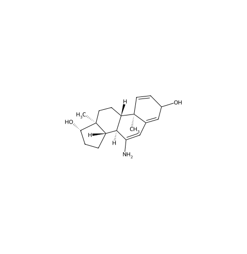 C[C@]12CC[C@H]3[C@@H](C(N)=CC4=CC(O)C=C[C@@]43C)[C@@H]1CC[C@@H]2O